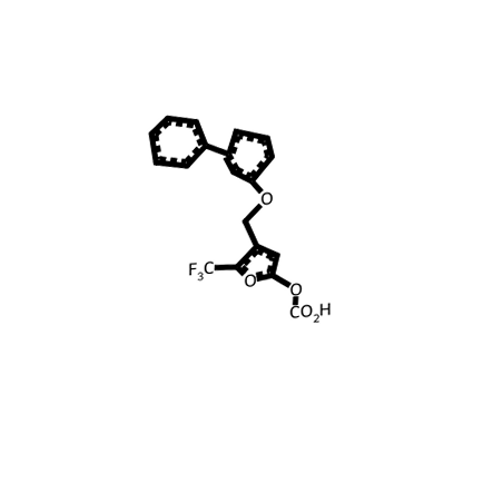 O=C(O)Oc1cc(COc2cccc(-c3ccccc3)c2)c(C(F)(F)F)o1